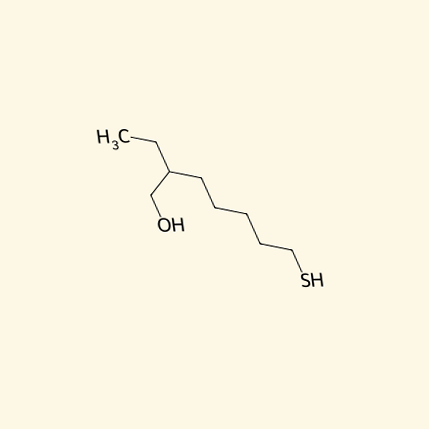 CCC(CO)CCCCCS